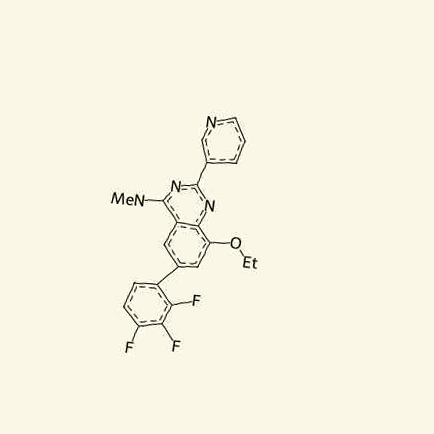 CCOc1cc(-c2ccc(F)c(F)c2F)cc2c(NC)nc(-c3cccnc3)nc12